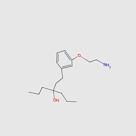 CCCC(O)(CCC)CCc1cccc(OCCN)c1